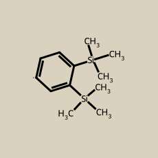 C[Si](C)(C)c1c[c]ccc1[Si](C)(C)C